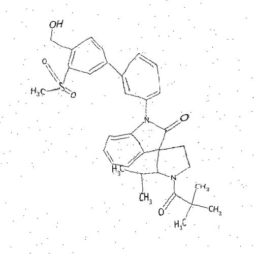 CC(C)C1N(C(=O)C(C)(C)C)CCC12C(=O)N(c1cccc(-c3ccc(CO)c(S(C)(=O)=O)c3)c1)c1ccccc12